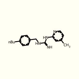 CCCCc1ccc(CNC(=N)Nc2cc(C)ccn2)cc1